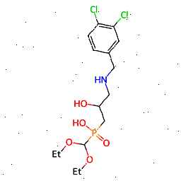 CCOC(OCC)P(=O)(O)CC(O)CNCc1ccc(Cl)c(Cl)c1